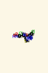 COC(=O)Nc1ccc(-c2cc(C(Cc3nc(C)cs3)NC(=O)C=Cc3cc(Cl)ccc3-n3cnnn3)nnc2Cl)cc1